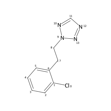 Clc1ccccc1[CH]Cn1ncnn1